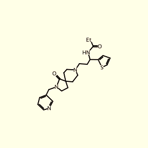 CCC(=O)NC(CCN1CCC2(CC1)CCN(Cc1cccnc1)C2=O)c1cccs1